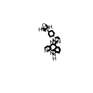 c1cc(-c2c(-c3ccncc3)nn3c2nccc3[C@H]2CC[C@H](N3C[C@@H]4C[C@H]3CO4)CC2)c2cn[nH]c2c1